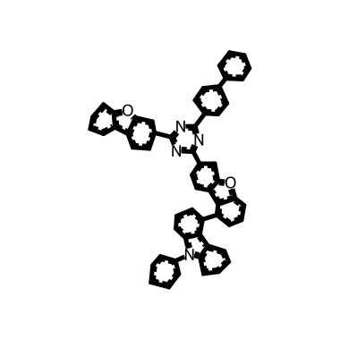 c1ccc(-c2ccc(-c3nc(-c4ccc5c(c4)oc4ccccc45)nc(-c4ccc5c(c4)oc4cccc(-c6cccc7c6c6ccccc6n7-c6ccccc6)c45)n3)cc2)cc1